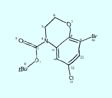 CC(C)(C)OC(=O)N1CCOc2c(Br)cc(Cl)cc21